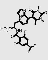 Cc1c(-c2ccc(CC(NC(=O)c3c(F)cc(C(F)F)cc3F)C(=O)O)n3ccnc23)c(=O)n(C)c(=O)n1C